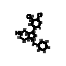 Clc1ccc(-c2cn(Cc3ccccc3)c3c2CNCC3)cc1Cl